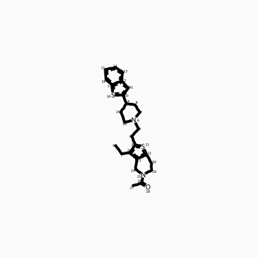 CCc1c(CCN2CCC(c3cc4ccccc4s3)CC2)sc2c1CN(C(C)=O)CC2